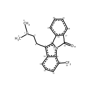 CN(C)CCc1c2n(c3c(C(F)(F)F)cccc13)C(=O)c1ccccc1-2